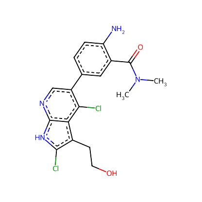 CN(C)C(=O)c1cc(-c2cnc3[nH]c(Cl)c(CCO)c3c2Cl)ccc1N